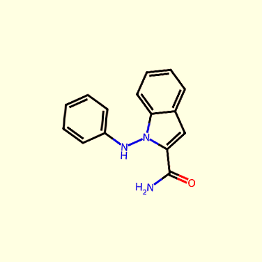 NC(=O)c1cc2ccccc2n1Nc1ccccc1